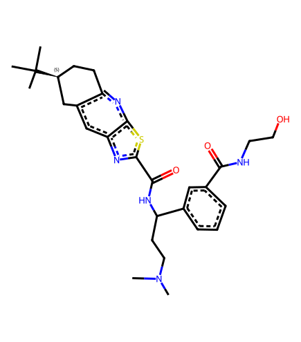 CN(C)CCC(NC(=O)c1nc2cc3c(nc2s1)CC[C@H](C(C)(C)C)C3)c1cccc(C(=O)NCCO)c1